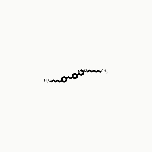 CCCCCCCCOc1ccc(-c2ccc(CCC3CCC(CCCCCC)CC3)cc2)nc1